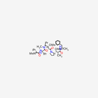 CN[C@H](C(=O)NC(C(=O)N(C)[C@@H](C(C)C)[C@@H](CC(=O)N1CCC[C@H]1C(OC)C(C)C(=O)N[C@H](C)Cc1ccccc1)OC)C(C)C)C(C)C